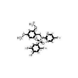 COc1ccc(CN(c2ncc(F)cn2)S(=O)(=O)c2cc(F)c(F)cc2F)c(OC)c1